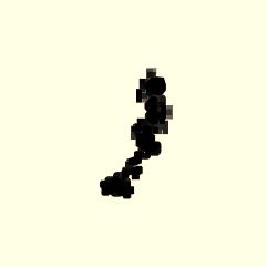 COc1cc2c(Nc3cc(CC(=O)Nc4cccc(F)c4F)[nH]n3)ncnc2cc1OCCCN(CCOP(=O)(OC(C)(C)C)OC(C)(C)C)C(C)C